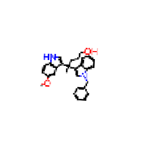 COc1ccc2[nH]cc(C(C)(CCCO)c3cn(Cc4ccccc4)c4ccccc34)c2c1